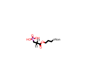 CCCCCCCCCCCCOC(=O)C(CC)(CC)CP(=O)(O)O